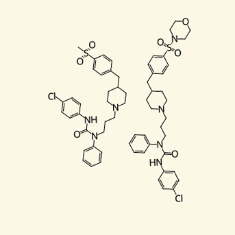 CS(=O)(=O)c1ccc(CC2CCN(CCCN(C(=O)Nc3ccc(Cl)cc3)c3ccccc3)CC2)cc1.O=C(Nc1ccc(Cl)cc1)N(CCCN1CCC(Cc2ccc(S(=O)(=O)N3CCOCC3)cc2)CC1)c1ccccc1